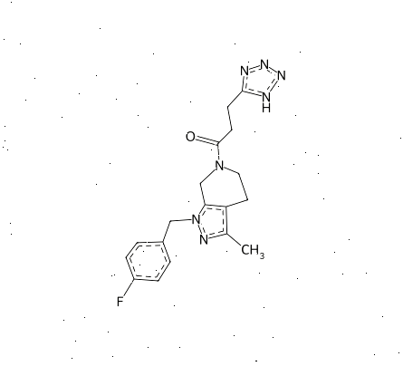 Cc1nn(Cc2ccc(F)cc2)c2c1CCN(C(=O)CCc1nnn[nH]1)C2